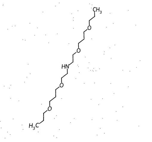 CCCOCCCOCCNCCOCCCOCCC